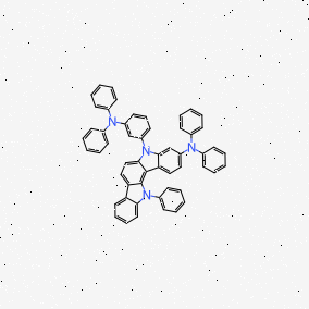 c1ccc(N(c2ccccc2)c2cccc(-n3c4cc(N(c5ccccc5)c5ccccc5)ccc4c4c3ccc3c5ccccc5n(-c5ccccc5)c34)c2)cc1